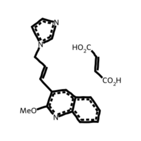 COc1nc2ccccc2cc1C=CCn1ccnc1.O=C(O)C=CC(=O)O